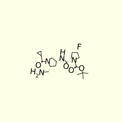 CC(C)(C)OC(=O)N1C[C@@H](F)C[C@H]1C(=O)N[C@@H]1C[C@H](CN)N(C(=O)C2CC2)C1